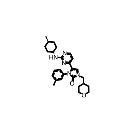 Cc1cccc(-n2c(-c3ccnc(N[C@H]4CC[C@H](C)CC4)n3)cn(CC3CCOCC3)c2=O)c1